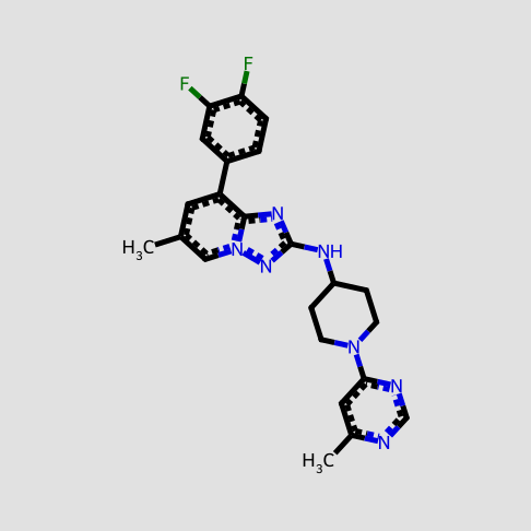 Cc1cc(-c2ccc(F)c(F)c2)c2nc(NC3CCN(c4cc(C)ncn4)CC3)nn2c1